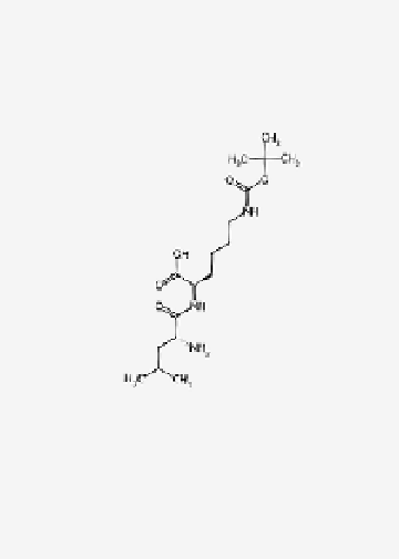 CC(C)C[C@@H](N)C(=O)N[C@H](CCCCNC(=O)OC(C)(C)C)C(=O)O